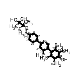 Bc1c(B)c(-c2cnc(-c3ccc(BOC(C)(C)C(C)(C)O)cc3)cc2C)c(B)c(B)c1O